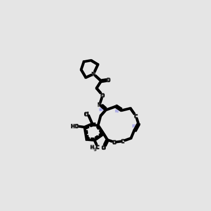 Cc1cc(O)c(Cl)c2c1C(=O)OCC/C=C/CC/C=C/C(=N\OCC(=O)N1CCCCC1)C2